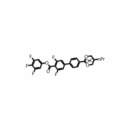 CCCC12COC(c3ccc(-c4cc(F)c(C(=O)Oc5cc(F)c(F)c(F)c5)c(F)c4)cc3)(OC1)OC2